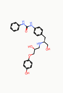 O=C(Nc1ccccc1)Nc1ccc(C[C@@H](CO)NC[C@H](O)COc2ccc(O)cc2)cc1